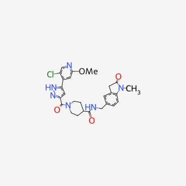 COc1cc(-c2cc(C(=O)N3CCC(C(=O)NCc4ccc5c(c4)CC(=O)N5C)CC3)n[nH]2)c(Cl)cn1